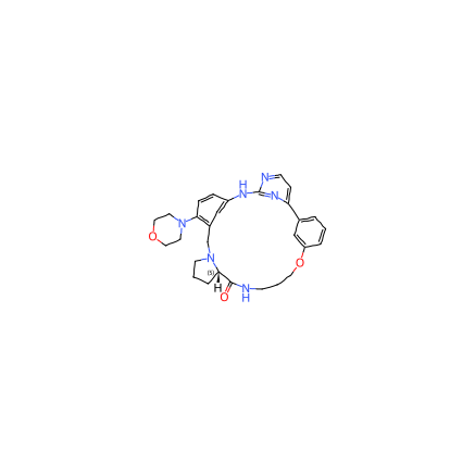 O=C1NCCCOc2cccc(c2)-c2ccnc(n2)Nc2ccc(N3CCOCC3)c(c2)CN2CCC[C@@H]12